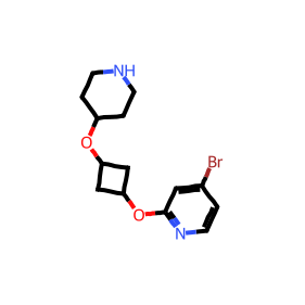 Brc1ccnc(OC2CC(OC3CCNCC3)C2)c1